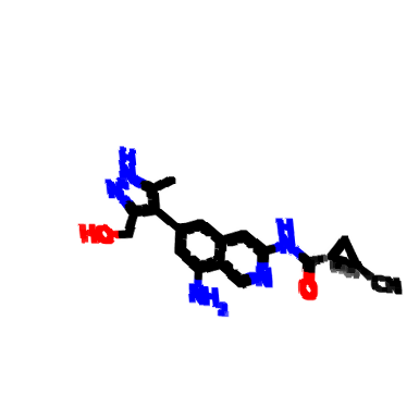 Cc1[nH]nc(CO)c1-c1cc(N)c2cnc(NC(=O)[C@@H]3C[C@H]3C#N)cc2c1